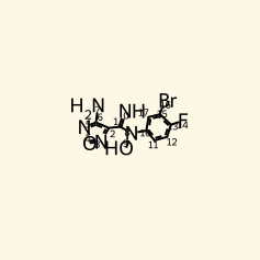 N=C(c1nonc1N)N(O)c1ccc(F)c(Br)c1